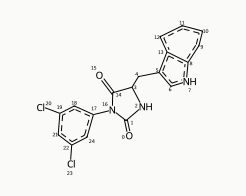 O=C1NC(Cc2c[nH]c3ccccc23)C(=O)N1c1cc(Cl)cc(Cl)c1